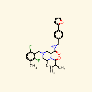 Cc1ccc(F)c(CN2CC(C)N(C(=O)C(C)C)C(C(=O)NCc3ccc(-c4ccco4)cc3)C2)c1F